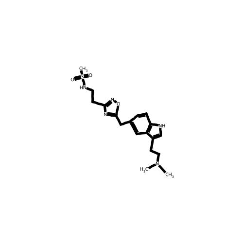 CN(C)CCc1c[nH]c2ccc(Cc3nc(CCNS(C)(=O)=O)no3)cc12